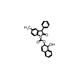 Cc1ccc2c(c1)C(c1ccccc1)C(=O)N2C(=O)OC1C=Cc2ccccc2C1O